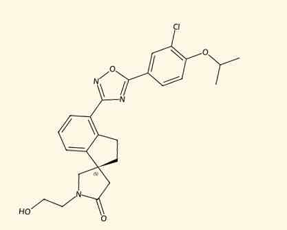 CC(C)Oc1ccc(-c2nc(-c3cccc4c3CC[C@]43CC(=O)N(CCO)C3)no2)cc1Cl